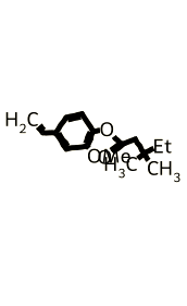 C=Cc1ccc(OC(=O)CC(C)(C)CC)c(OC)c1